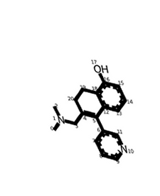 CN(C)CC1=C(c2cccnc2)c2cccc(O)c2CC1